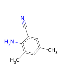 Cc1cc(C)c(N)c(C#N)c1